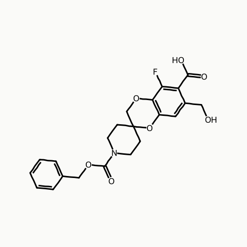 O=C(O)c1c(CO)cc2c(c1F)OCC1(CCN(C(=O)OCc3ccccc3)CC1)O2